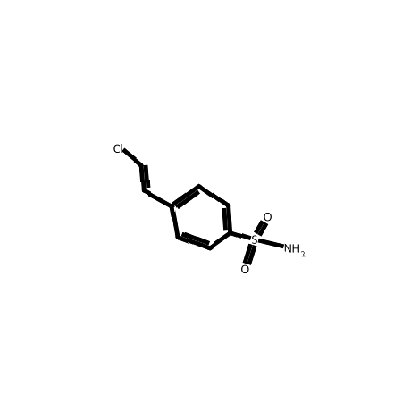 NS(=O)(=O)c1ccc(C=CCl)cc1